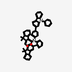 CC1(C)c2ccccc2-c2cc(-c3ccccc3N(c3ccc(-c4ccc5c6ccccc6n(-c6ccccc6)c5c4)cc3)c3cccc4c3-c3ccccc3C4(C)C)ccc21